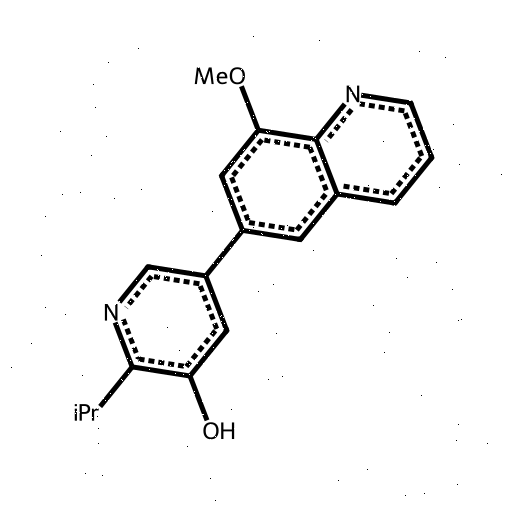 COc1cc(-c2cnc(C(C)C)c(O)c2)cc2cccnc12